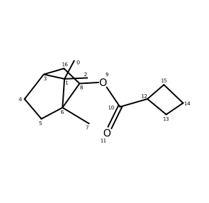 CC1(C)C2CCC1(C)C(OC(=O)C1CCC1)C2